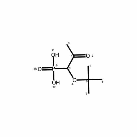 CC(=O)C(OC(C)(C)C)P(=O)(O)O